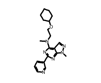 CN(CCOC1CCCCC1)c1nc(-c2cccnc2)nc2c1cnn2C